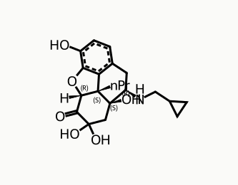 CCC[C@]12c3c4ccc(O)c3O[C@H]1C(=O)C(O)(O)C[C@@]2(O)[C@H](NCC1CC1)C4